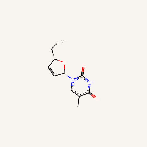 COC[C@@H]1C=C[C@H](n2cc(C)c(=O)[nH]c2=O)O1